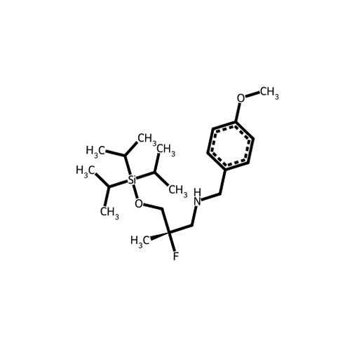 COc1ccc(CNC[C@](C)(F)CO[Si](C(C)C)(C(C)C)C(C)C)cc1